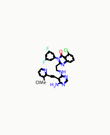 COc1cccnc1C#Cc1c(N)ncnc1NCCc1nc2cccc(Cl)c2c(=O)n1-c1cc(F)cc(F)c1